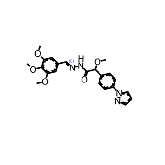 COc1cc(/C=N/NC(=O)C(OC)c2ccc(-n3cccn3)cc2)cc(OC)c1OC